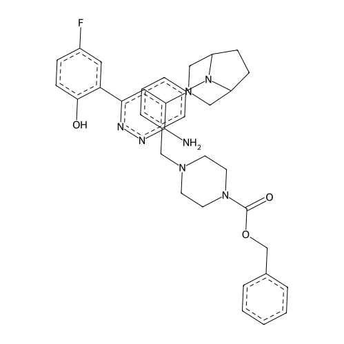 Nc1nnc(-c2cc(F)ccc2O)cc1N1CC2CCC(C1)N2c1cccc(CN2CCN(C(=O)OCc3ccccc3)CC2)c1